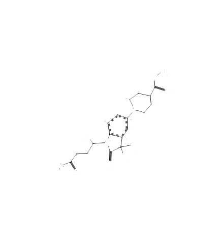 CC(CCC(=O)NC=O)N1C(=O)C(C)(C)c2cc(N3CCC(C(=O)OC(C)(C)C)CC3)ccc21